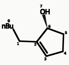 CCCCCC1=CCC[C@H]1O